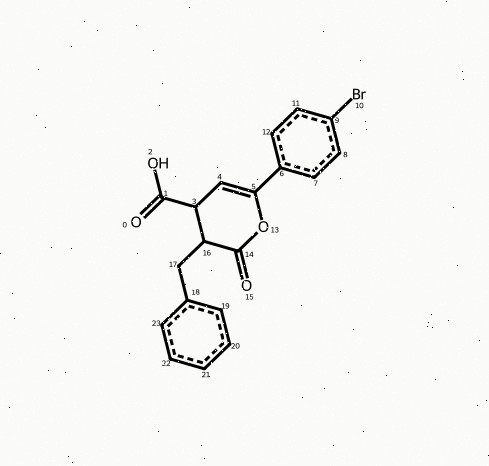 O=C(O)C1C=C(c2ccc(Br)cc2)OC(=O)C1Cc1ccccc1